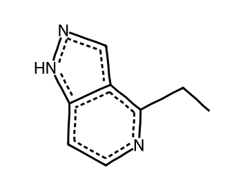 CCc1nccc2[nH]ncc12